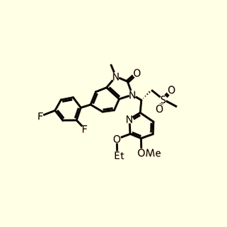 CCOc1nc([C@@H](CS(C)(=O)=O)n2c(=O)n(C)c3cc(-c4ccc(F)cc4F)ccc32)ccc1OC